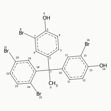 CC(c1ccc(O)c(Br)c1)(c1ccc(O)c(Br)c1)c1cc(Br)ccc1Br